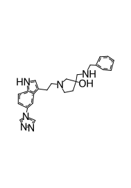 OC1(CNCc2ccccc2)CCN(CCc2c[nH]c3ccc(-n4cnnc4)cc23)C1